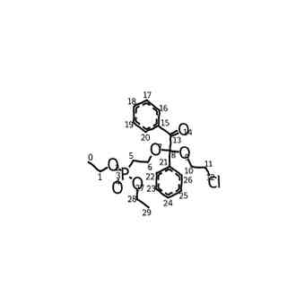 CCOP(=O)(CCOC(OCCCl)(C(=O)c1ccccc1)c1ccccc1)OCC